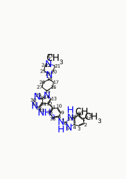 Cc1ccc2nc(Nc3ccc(-c4cn([C@H]5CC[C@@H](N6CCN(C)CC6)CC5)c5ncnc(N)c45)cc3)[nH]c2c1C